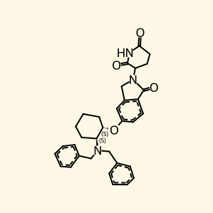 O=C1CCC(N2Cc3cc(O[C@H]4CCCC[C@@H]4N(Cc4ccccc4)Cc4ccccc4)ccc3C2=O)C(=O)N1